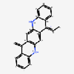 C=C1c2ccccc2Nc2cc3c(cc21)Nc1ccccc1/C3=C\C